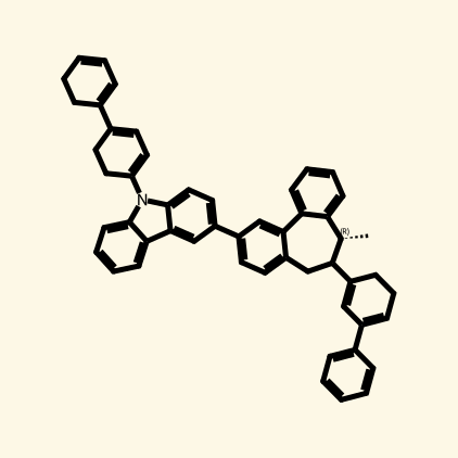 C[C@H]1c2ccccc2-c2cc(-c3ccc4c(c3)c3ccccc3n4C3=CC=C(C4=CC=CCC4)CC3)ccc2CC1C1=CC(c2ccccc2)=CCC1